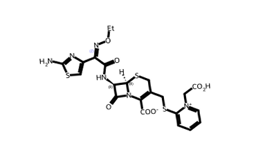 CCO/N=C(\C(=O)N[C@@H]1C(=O)N2C(C(=O)[O-])=C(CSc3cccc[n+]3CC(=O)O)CS[C@H]12)c1csc(N)n1